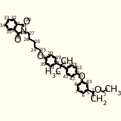 C=C(OCC)c1cccc(Oc2ccc(C(C)(C)c3ccc(OCCCCCN4C(=O)c5ccccc5C4=O)cc3)cc2)c1